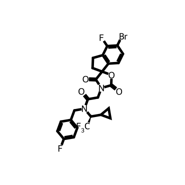 O=C1OC2(CCc3c2ccc(Br)c3F)C(=O)N1CC(=O)N(Cc1ccc(F)cc1)[C@@H](C1CC1)C(F)(F)F